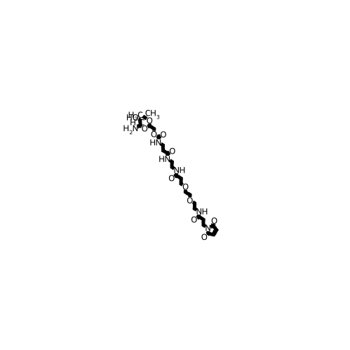 CC(C)(C)OC(COC(=O)NCCC(=O)NCCNC(=O)CCOCCOCCNC(=O)CCN1C(=O)C=CC1=O)OC(N)CO